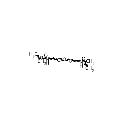 CCCC(C)OCC(=O)NCCCCCOCCOCCOCCCCCNC(=O)C(C)CCC